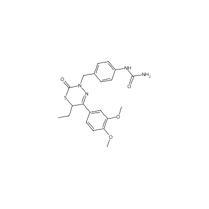 CCC1SC(=O)N(Cc2ccc(NC(N)=O)cc2)N=C1c1ccc(OC)c(OC)c1